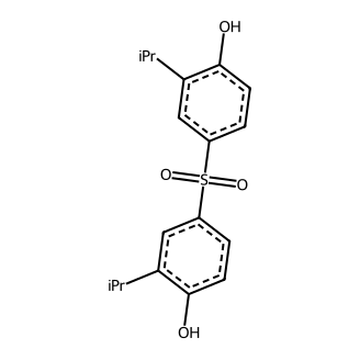 CC(C)c1cc(S(=O)(=O)c2ccc(O)c(C(C)C)c2)ccc1O